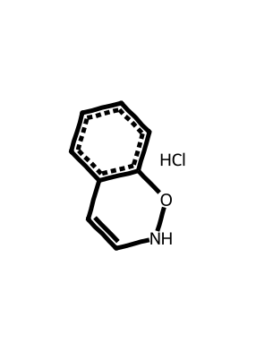 C1=Cc2ccccc2ON1.Cl